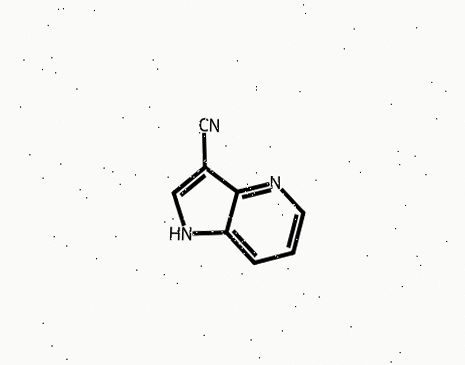 N#Cc1c[nH]c2cccnc12